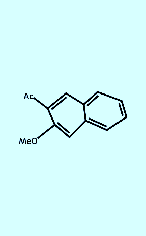 COc1cc2ccccc2cc1C(C)=O